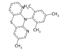 Cc1cc(C)c(N2c3ncccc3Sc3cc(C)cnc32)c(C)c1